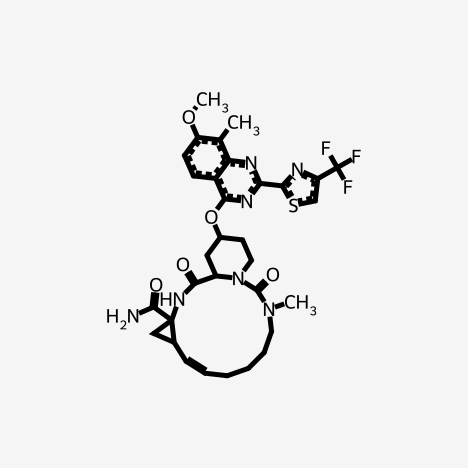 COc1ccc2c(OC3CCN4C(=O)N(C)CCCCC=CC5CC5(C(N)=O)NC(=O)C4C3)nc(-c3nc(C(F)(F)F)cs3)nc2c1C